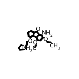 CCCOc1cc(OCC)c2c(c1N)C(=O)c1cccc(OCCN3CCCC3)c1-2